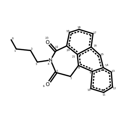 CCCCN1C(=O)Cc2c3ccccc3cc3cccc(c23)C1=O